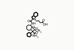 CC(C)C(C(N)=O)(c1ccccc1)N1CCCCC(NC(=O)c2cc3ccccc3n2CCCC(=O)O)C1=O